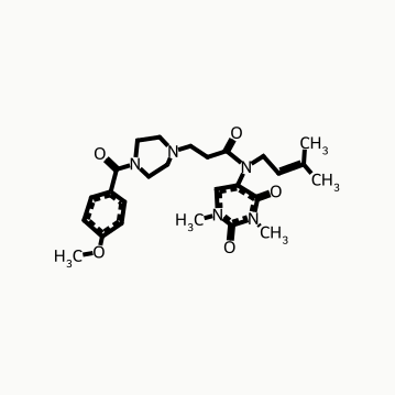 COc1ccc(C(=O)N2CCN(CCC(=O)N(CC=C(C)C)c3cn(C)c(=O)n(C)c3=O)CC2)cc1